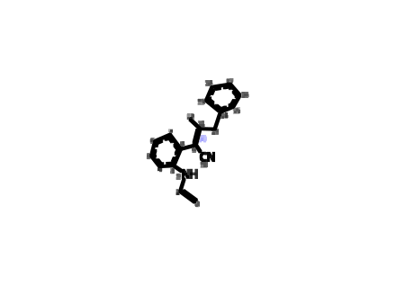 C=CNc1ccccc1/C(C#N)=C(\C)Cc1ccccc1